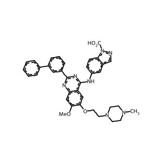 COc1cc2nc(-c3cccc(-c4ccccc4)c3)nc(Nc3ccc4c(cnn4C(=O)O)c3)c2cc1OCCN1CCN(C)CC1